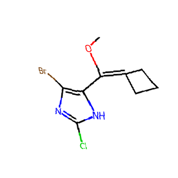 COC(=C1CCC1)c1[nH]c(Cl)nc1Br